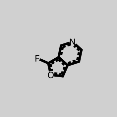 Fc1occ2ccncc12